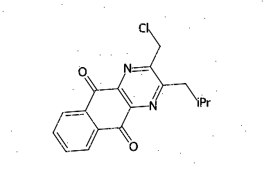 CC(C)Cc1nc2c(nc1CCl)C(=O)c1ccccc1C2=O